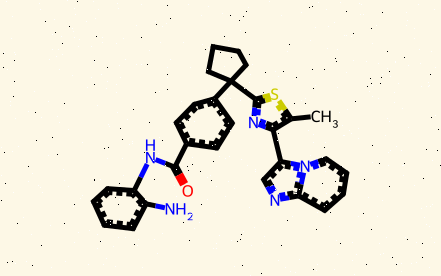 Cc1sc(C2(c3ccc(C(=O)Nc4ccccc4N)cc3)CCCC2)nc1-c1cnc2ccccn12